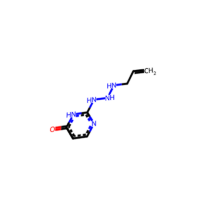 C=CCNNNc1nccc(=O)[nH]1